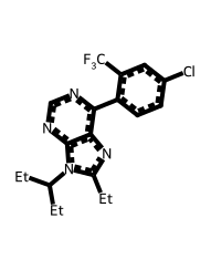 CCc1nc2c(-c3ccc(Cl)cc3C(F)(F)F)ncnc2n1C(CC)CC